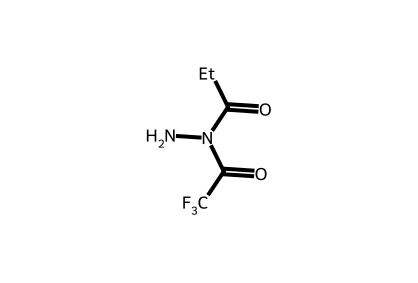 CCC(=O)N(N)C(=O)C(F)(F)F